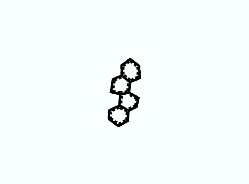 [c]1ccc2c(c1)c[c]c1c3ccccc3ccc12